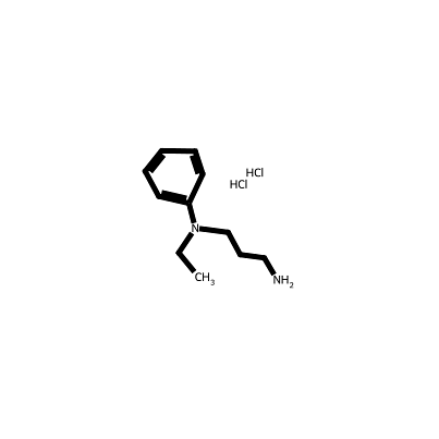 CCN(CCCN)c1ccccc1.Cl.Cl